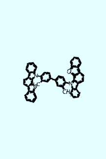 Cc1cc(-c2ccc(-n3c4ccccc4c4ccc5c6ccccc6oc5c43)c(C)c2)ccc1-n1c2ccccc2c2ccc3c4ccccc4oc3c21